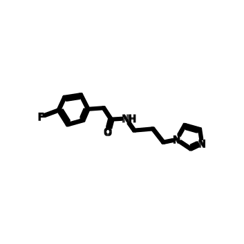 O=C(Cc1ccc(F)cc1)NCCCn1ccnc1